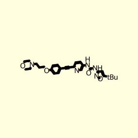 CC(C)(C)c1cc(NC(=O)Nc2ccc(C#Cc3ccc(OCCCN4CCOCC4)cc3)nc2)no1